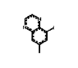 Cc1cc(I)c2nccnc2c1